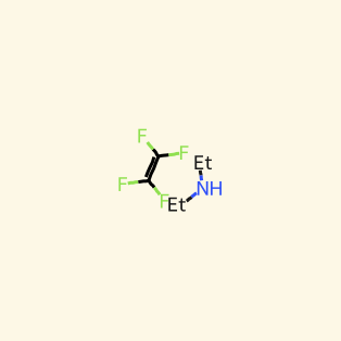 CCNCC.FC(F)=C(F)F